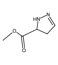 COC(=O)C1CC=NN1